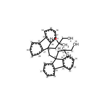 CC(C)(CO)CC1(CC2(CC(C)(C)CO)c3ccccc3-c3ccccc32)c2ccccc2-c2ccccc21